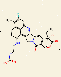 CC[C@@]1(O)C(=O)OCc2c1cc1n(c2=O)Cc2c-1nc1cc(F)c(C)c3c1c2[C@@H](NCCNC(=O)O)CC3